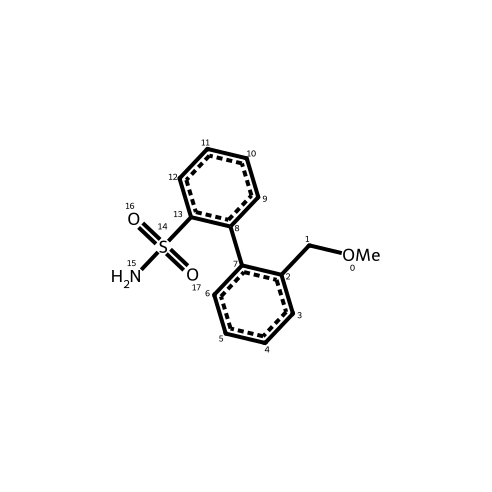 COCc1ccccc1-c1ccccc1S(N)(=O)=O